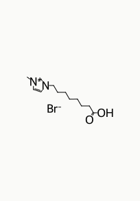 C[n+]1ccn(CCCCCCCC(=O)O)c1.[Br-]